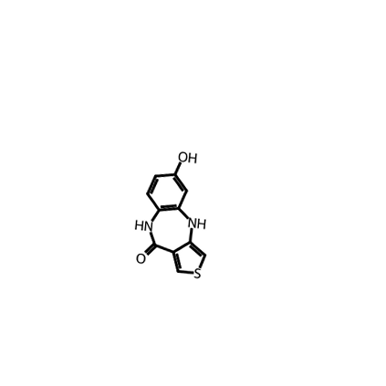 O=C1Nc2ccc(O)cc2Nc2cscc21